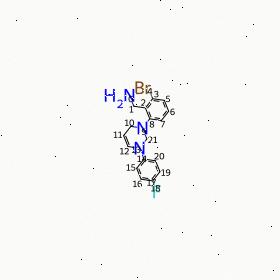 NCc1c(Br)cccc1N1CC=CN(c2ccc(F)cc2)C1